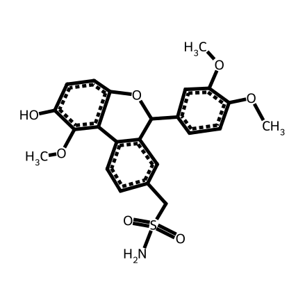 COc1ccc(C2Oc3ccc(O)c(OC)c3-c3ccc(CS(N)(=O)=O)cc32)cc1OC